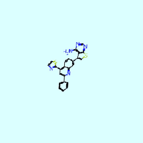 Nc1ncnc2scc(-c3ccc4c(-c5nccs5)cc(-c5ccccc5)nc4c3)c12